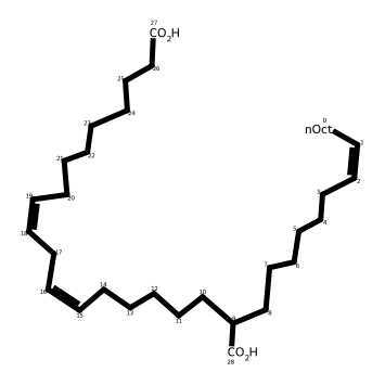 CCCCCCCC/C=C\CCCCCCC(CCCCC/C=C\C/C=C\CCCCCCCC(=O)O)C(=O)O